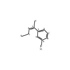 CC/C=C(/C)c1cccc(F)c1